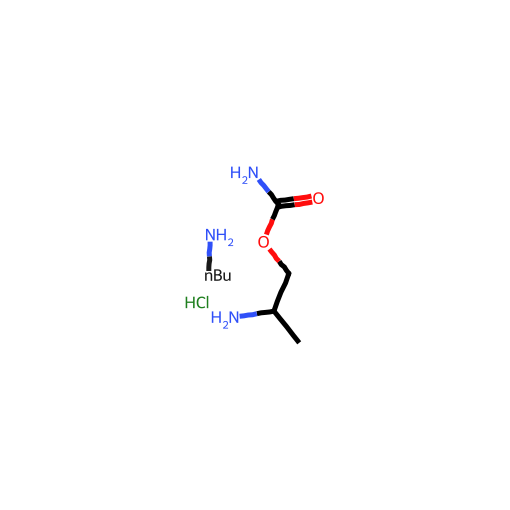 CC(N)COC(N)=O.CCCCN.Cl